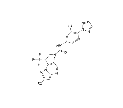 O=C(Nc1cnc(-n2nccn2)c(Cl)c1)N1CC(C(F)(F)F)c2c1cnc1cc(Cl)nn21